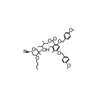 CCCCO[C@@H]1C[C@@H](C#N)O[C@H](C[C@H](O)[C@@H](C)[C@H]2Cc3c(C)c(OCc4ccc(OC)cc4)cc(OCc4ccc(OC)cc4)c3C(=O)O2)C1(C)C